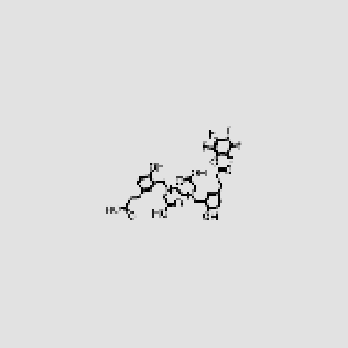 O=C(O)CCc1ccc(O)c(CN(CCN(CC(=O)O)Cc2cc(CCC(=O)Oc3c(F)c(F)c(F)c(F)c3F)ccc2O)CC(=O)O)c1